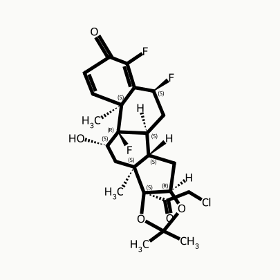 CC1(C)O[C@@H]2C[C@H]3[C@@H]4C[C@H](F)C5=C(F)C(=O)C=C[C@]5(C)[C@@]4(F)[C@@H](O)C[C@]3(C)[C@]2(C(=O)CCl)O1